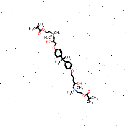 C=C(C)C(=O)OCC[N+](C)(C)CC(O)CCCOc1ccc(C(C)(C)c2ccc(OCC(O)C[N+](C)(C)CCOC(=O)C(=C)C)cc2)cc1